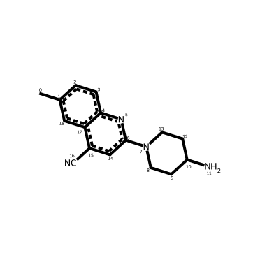 Cc1ccc2nc(N3CCC(N)CC3)cc(C#N)c2c1